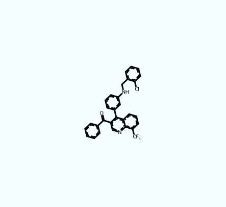 O=C(c1ccccc1)c1cnc2c(C(F)(F)F)cccc2c1-c1cccc(NCc2ccccc2Cl)c1